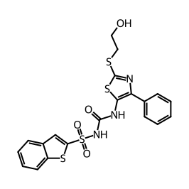 O=C(Nc1sc(SCCO)nc1-c1ccccc1)NS(=O)(=O)c1cc2ccccc2s1